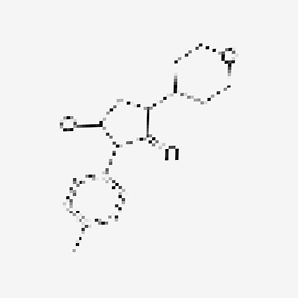 Cc1ccc(C2C(=O)CC(C3CCOCC3)C2=O)cc1